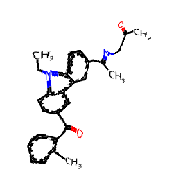 CCn1c2ccc(C(=O)c3ccccc3C)cc2c2cc(/C(C)=N/CC(C)=O)ccc21